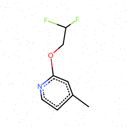 Cc1ccnc(OCC(F)F)c1